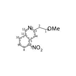 COCCc1cc2c([N+](=O)[O-])cccc2cn1